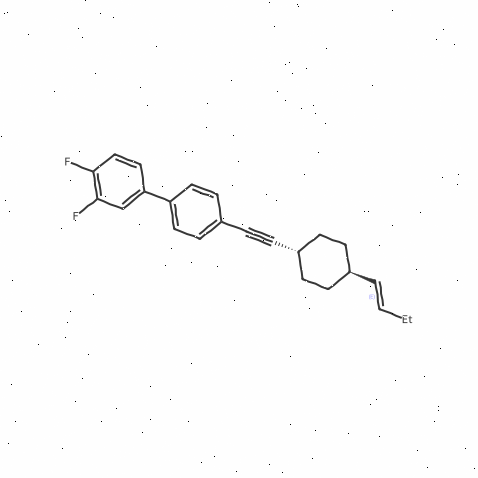 CC/C=C/[C@H]1CC[C@H](C#Cc2ccc(-c3ccc(F)c(F)c3)cc2)CC1